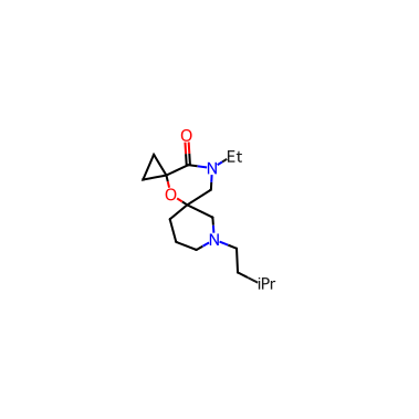 CCN1CC2(CCCN(CCC(C)C)C2)OC2(CC2)C1=O